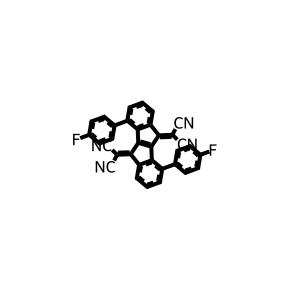 N#CC(C#N)=C1C2=C(C(=C(C#N)C#N)c3cccc(-c4ccc(F)cc4)c32)c2c1cccc2-c1ccc(F)cc1